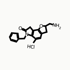 Cc1cc2c(c3c1N(Cc1ccccc1)C(=O)C3)OC(CN)C2.Cl